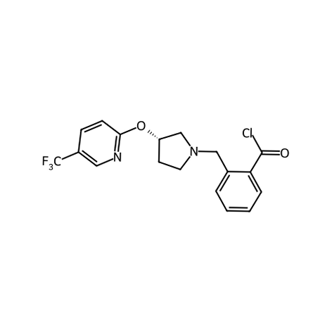 O=C(Cl)c1ccccc1CN1CC[C@H](Oc2ccc(C(F)(F)F)cn2)C1